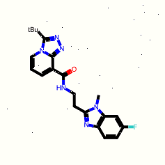 Cn1c(CCNC(=O)c2cccn3c(C(C)(C)C)nnc23)nc2ccc(F)cc21